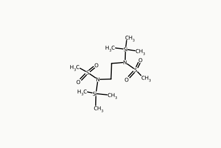 C[Si](C)(C)N(CCN([Si](C)(C)C)S(C)(=O)=O)S(C)(=O)=O